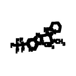 Cn1c(-c2nc3n(c2[S+](C)[O-])CCCC3)nc2cc(C(F)(F)C(F)(F)F)ncc21